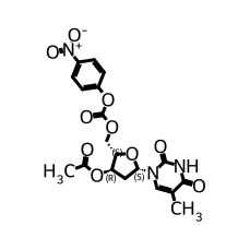 CC(=O)O[C@@H]1C[C@@H](n2cc(C)c(=O)[nH]c2=O)O[C@H]1COC(=O)Oc1ccc([N+](=O)[O-])cc1